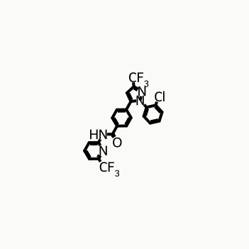 O=C(Nc1cccc(C(F)(F)F)n1)c1ccc(-c2cc(C(F)(F)F)nn2-c2ccccc2Cl)cc1